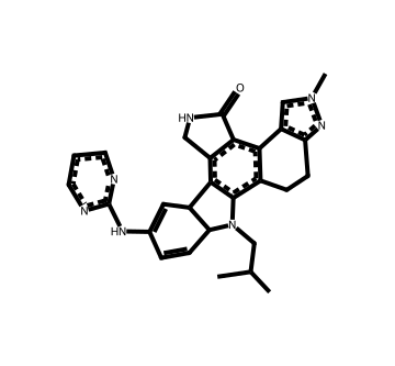 CC(C)CN1c2c3c(c4c(c2C2C=C(Nc5ncccn5)C=CC21)CNC4=O)-c1cn(C)nc1CC3